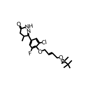 CC1CC(=O)NN=C1c1cc(F)c(OCC=CCO[Si](C)(C)C(C)(C)C)c(Cl)c1